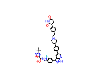 CC(C)(C)c1noc(C(O)NCc2ccc(-c3n[nH]c4ncc(-c5ccc(C6CCN(CCc7ccc(C8CCC(=O)NC8=O)cc7)CC6)cc5)cc34)cc2F)n1